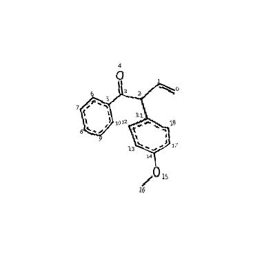 C=CC(C(=O)c1ccccc1)c1ccc(OC)cc1